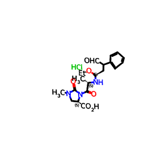 CCO[C@@H](CC(C=O)c1ccccc1)N[C@@H](C)C(=O)N1C(=O)N(C)C[C@H]1C(=O)O.Cl